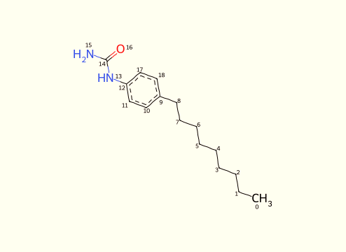 CCCCCCCCCc1ccc(NC(N)=O)cc1